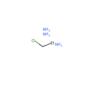 CCCCl.N.N.N